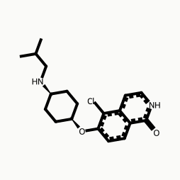 CC(C)CN[C@H]1CC[C@@H](Oc2ccc3c(=O)[nH]ccc3c2Cl)CC1